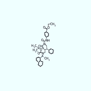 CCOC(=O)c1ccc(NC(=O)N2CCC(CN(C(=O)OC(C)(C)C)[C@H](C)c3cccc4ccccc34)C(c3ccccc3)C2)cc1